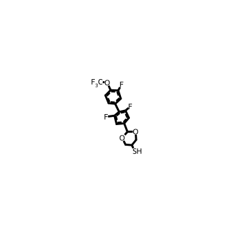 Fc1cc(-c2c(F)cc(C3OCC(S)CO3)cc2F)ccc1OC(F)(F)F